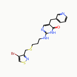 O=c1[nH]c(NCCCSCc2nscc2Br)ncc1Cc1cccnc1